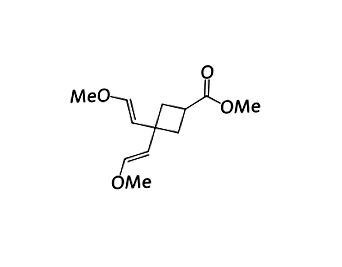 COC=CC1(C=COC)CC(C(=O)OC)C1